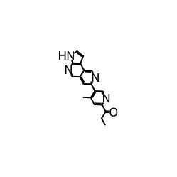 CCC(=O)c1cc(C)c(-c2cc3cnc4[nH]ccc4c3cn2)cn1